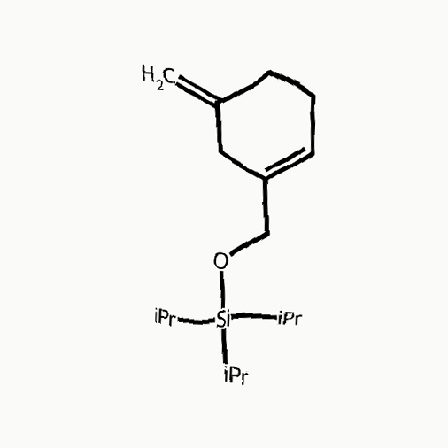 C=C1CCC=C(CO[Si](C(C)C)(C(C)C)C(C)C)C1